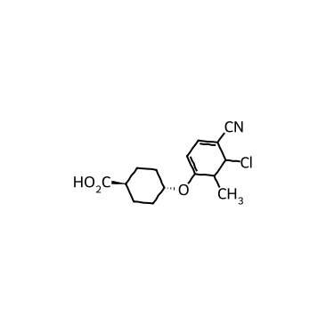 CC1C(O[C@H]2CC[C@H](C(=O)O)CC2)=CC=C(C#N)C1Cl